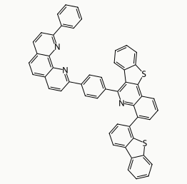 c1ccc(-c2ccc3ccc4ccc(-c5ccc(-c6nc7c(-c8cccc9c8sc8ccccc89)cccc7c7sc8ccccc8c67)cc5)nc4c3n2)cc1